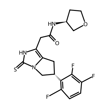 O=C(Cc1[nH]c(=S)n2c1C[C@H](c1c(F)ccc(F)c1F)C2)N[C@H]1CCOC1